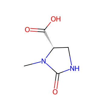 CN1C(=O)NC[C@H]1C(=O)O